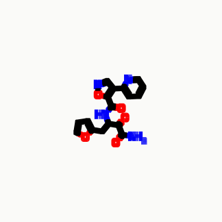 NC(=O)C(=O)C(Cc1ccco1)NC(=O)c1oncc1-c1ccccn1